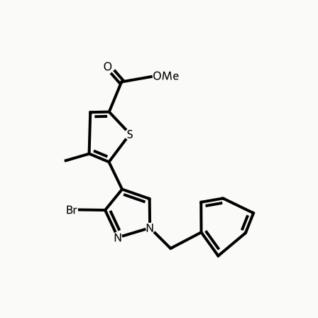 COC(=O)c1cc(C)c(-c2cn(Cc3ccccc3)nc2Br)s1